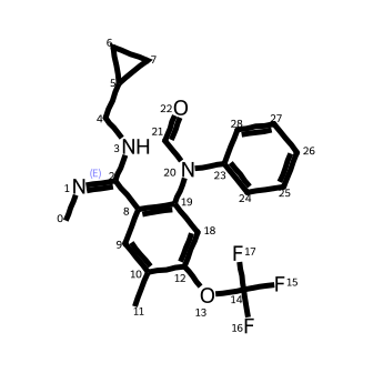 C/N=C(/NCC1CC1)c1cc(C)c(OC(F)(F)F)cc1N(C=O)c1ccccc1